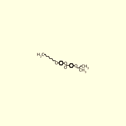 C=CCCCCCCOc1ccc(OC(=O)c2ccc(OCC(C)CC)cc2)cc1